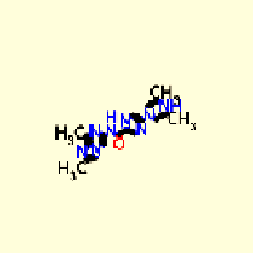 Cc1cn2cc(NC(=O)c3cnc(N4CC(C)NC(C)C4)cn3)nc(C)c2n1